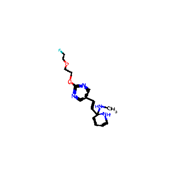 CNC1(C=Cc2cnc(OCCOCCF)nc2)C=CC=CN1